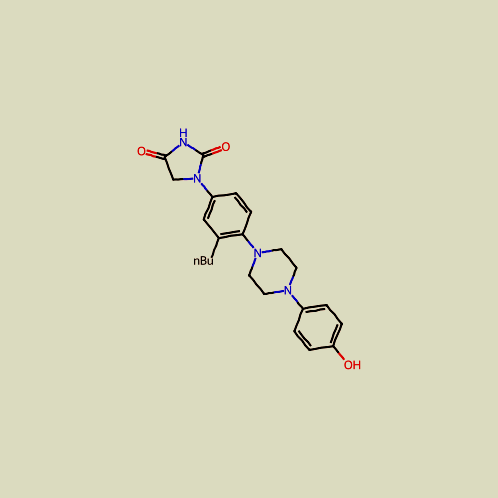 CCCCc1cc(N2CC(=O)NC2=O)ccc1N1CCN(c2ccc(O)cc2)CC1